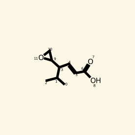 CC(C)C(C=CC(=O)O)C1CO1